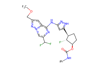 CC(C)NC(=O)O[C@@H]1CC[C@H](c2cc(Nc3nc(C(F)F)cn4nc(COC(F)(F)F)cc34)n[nH]2)[C@H]1F